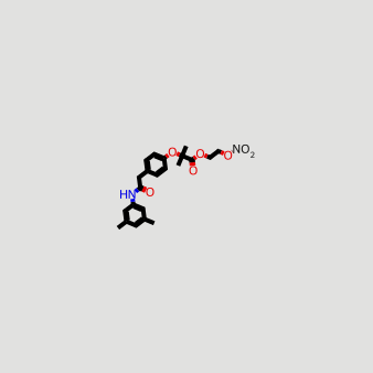 Cc1cc(C)cc(NC(=O)Cc2ccc(OC(C)(C)C(=O)OCCO[N+](=O)[O-])cc2)c1